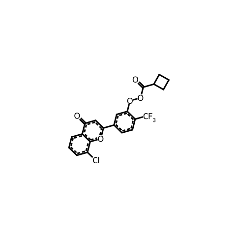 O=C(OOc1cc(-c2cc(=O)c3cccc(Cl)c3o2)ccc1C(F)(F)F)C1CCC1